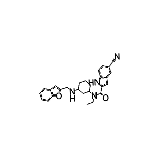 CCN(C(=O)c1cc2cc(C#N)ccc2[nH]1)C1CCCC(NCc2cc3ccccc3o2)C1